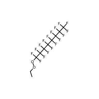 CCOOC(F)(F)C(F)(F)C(F)(F)C(F)(F)C(F)(F)C(F)(F)C(F)(F)C(F)(F)F